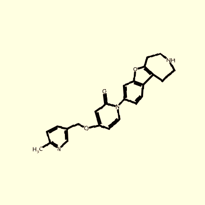 Cc1ccc(COc2ccn(-c3ccc4c5c(oc4c3)CCNCC5)c(=O)c2)cn1